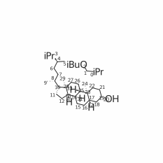 CC(C)COCC(C)C.CC(C)[C@@H](C)CC[C@@H](C)[C@H]1CC[C@H]2[C@@H]3CC[C@H]4C[C@@H](O)CC[C@]4(C)[C@H]3CC[C@]12C